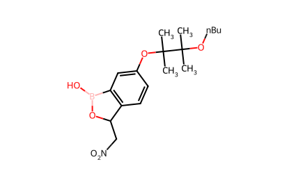 CCCCOC(C)(C)C(C)(C)Oc1ccc2c(c1)B(O)OC2C[N+](=O)[O-]